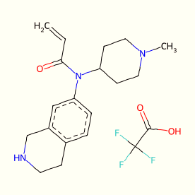 C=CC(=O)N(c1ccc2c(c1)CNCC2)C1CCN(C)CC1.O=C(O)C(F)(F)F